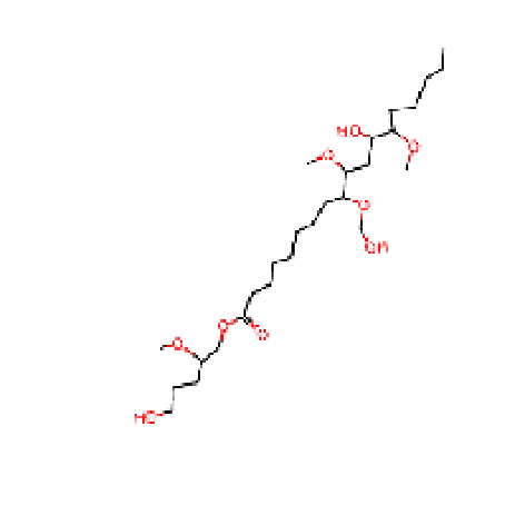 CCCCCC(OC)C(O)CC(OC)C(CCCCCCCC(=O)OCC(CCCO)OC)OCO